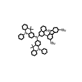 CC(C)(C)c1ccc2[nH]c3c(-c4cc(N(c5ccc6c(c5)C(C)(C)c5ccccc5N6c5ccccc5)c5ccc6c(c5)C(C)(C)c5ccccc5N6c5ccccc5)cc5ccccc45)cc(C(C)(C)C)cc3c2c1